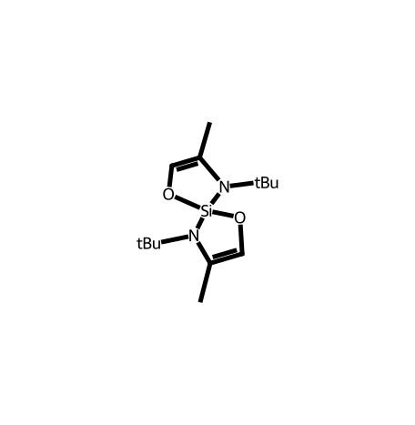 CC1=CO[Si]2(OC=C(C)N2C(C)(C)C)N1C(C)(C)C